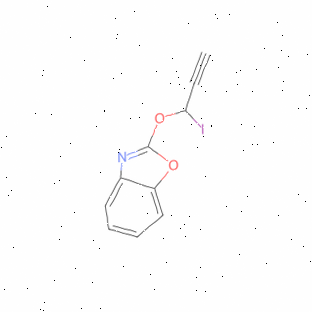 C#CC(I)Oc1nc2ccccc2o1